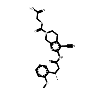 COc1ccccc1[C@@H](C)CC(=O)Nc1sc2c(c1C#N)CCN(C(=O)OCC(=O)O)C2